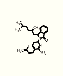 C=C(I)/C=C\C1=CCC(N2C(=O)c3ccccc3C2CC(=C)CCC(C)C)N=C1N